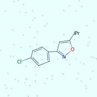 CC(C)c1cc(-c2ccc(Cl)cc2)no1